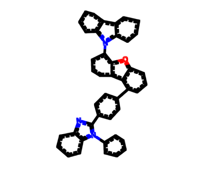 c1ccc(-n2c(-c3ccc(-c4cccc5oc6c(-n7c8ccccc8c8ccccc87)cccc6c45)cc3)nc3ccccc32)cc1